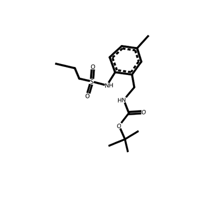 CCCS(=O)(=O)Nc1ccc(C)cc1CNC(=O)OC(C)(C)C